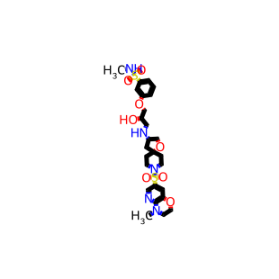 CNS(=O)(=O)c1cccc(OCC(O)CNC2COC3(CCN(S(=O)(=O)c4cnc5c(c4)OCCN5C)CC3)C2)c1